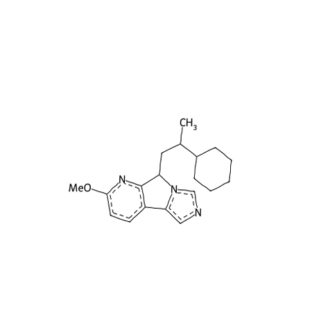 COc1ccc2c(n1)C(CC(C)C1CCCCC1)n1cncc1-2